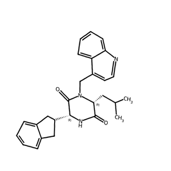 CC(C)C[C@@H]1C(=O)N[C@H](C2Cc3ccccc3C2)C(=O)N1Cc1ccnc2ccccc12